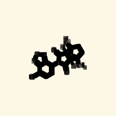 CC12CCC(C)(O1)[C@H]1C(=O)N(c3ccc(Cl)c4nonc34)C(=O)[C@H]12